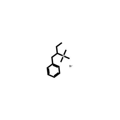 CCC(Cc1ccccc1)[N+](C)(C)C.[Br-]